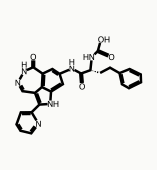 O=C(O)N[C@H](CCc1ccccc1)C(=O)Nc1cc2c3c(c(-c4ccccn4)[nH]c3c1)C=NNC2=O